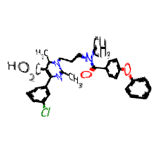 CC1=NC(c2cccc(Cl)c2)=C(C(=O)O)C(C)N1CCCN(C)C(=O)c1ccc(Oc2ccccc2)cc1